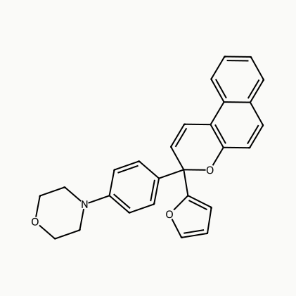 C1=CC(c2ccc(N3CCOCC3)cc2)(c2ccco2)Oc2ccc3ccccc3c21